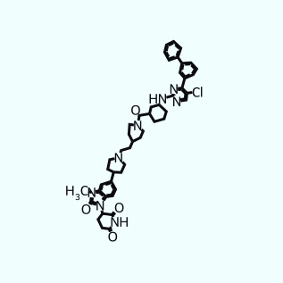 Cn1c(=O)n(C2CCC(=O)NC2=O)c2ccc(C3CCN(CCC4CCN(C(=O)C5CCCC(Nc6ncc(Cl)c(-c7cccc(-c8ccccc8)c7)n6)C5)CC4)CC3)cc21